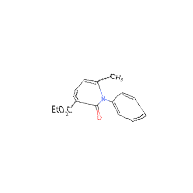 CCOC(=O)c1ccc(C)n(-c2ccccc2)c1=O